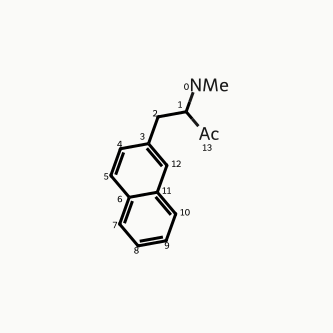 CNC(Cc1ccc2ccccc2c1)C(C)=O